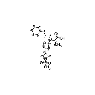 CC(C(=O)O)[C@@H](CCCC1CCCCC1)c1nc(C2CN(S(C)(=O)=O)C2)no1